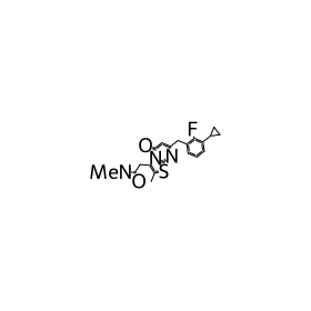 CNC(=O)Cc1c(C)sc2nc(Cc3cccc(C4CC4)c3F)cc(=O)n12